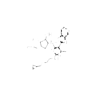 Cc1nc(NCCOCC2CC2)nc(N[C@@H]2C[C@H](CO)[C@@H](O)[C@H]2O)c1-c1nc2cnccc2s1